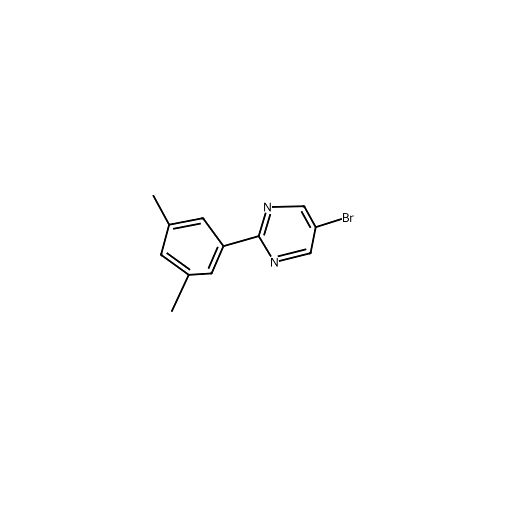 Cc1cc(C)cc(-c2ncc(Br)cn2)c1